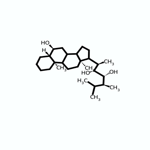 CC(C)[C@H](C)[C@@H](O)[C@H](O)[C@H](C)C1CCC2C3C[C@H](O)[C@H]4CCCC[C@]4(C)C3CC[C@@]21C